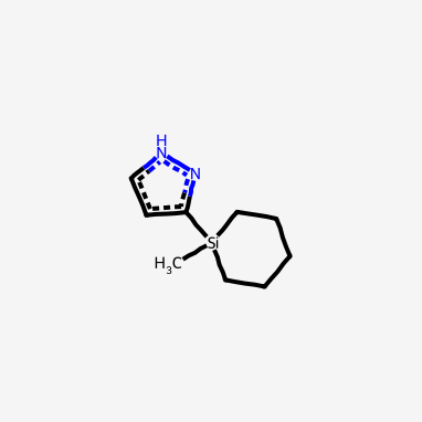 C[Si]1(c2cc[nH]n2)CCCCC1